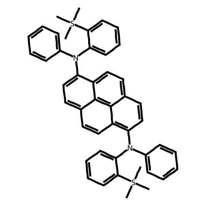 CS(C)(C)c1ccccc1N(c1ccccc1)c1ccc2ccc3c(N(c4ccccc4)c4ccccc4S(C)(C)C)ccc4ccc1c2c43